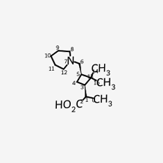 CC(C(=O)O)[C@H]1C[C@@H](CN2CCCCC2)C1(C)C